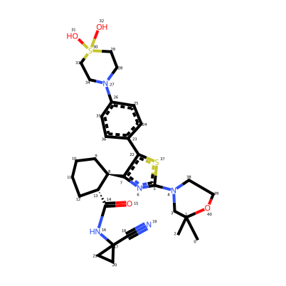 CC1(C)CN(c2nc([C@@H]3CCCC[C@H]3C(=O)NC3(C#N)CC3)c(-c3ccc(N4CCS(O)(O)CC4)cc3)s2)CCO1